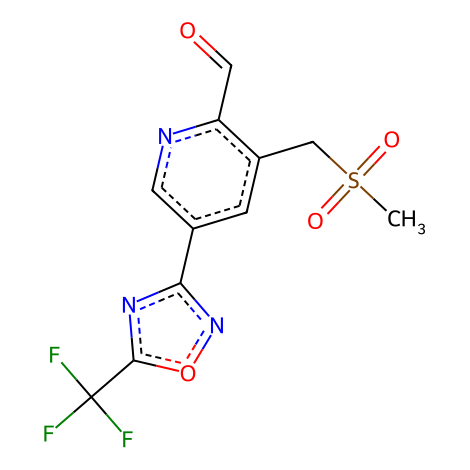 CS(=O)(=O)Cc1cc(-c2noc(C(F)(F)F)n2)cnc1C=O